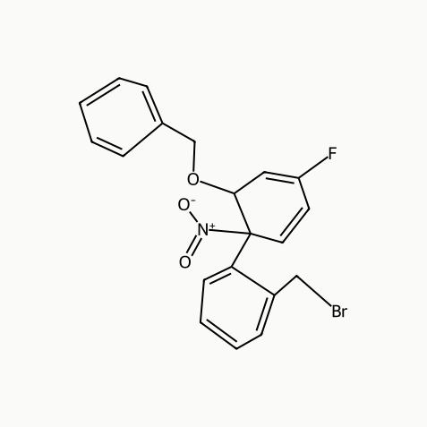 O=[N+]([O-])C1(c2ccccc2CBr)C=CC(F)=CC1OCc1ccccc1